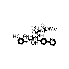 COC(=O)N[C@H](C(=O)NN(Cc1ccc(-c2ccccn2)cc1)C[C@H](O)[C@H](Cc1ccccc1)NC(=O)O)C(C)(C)C